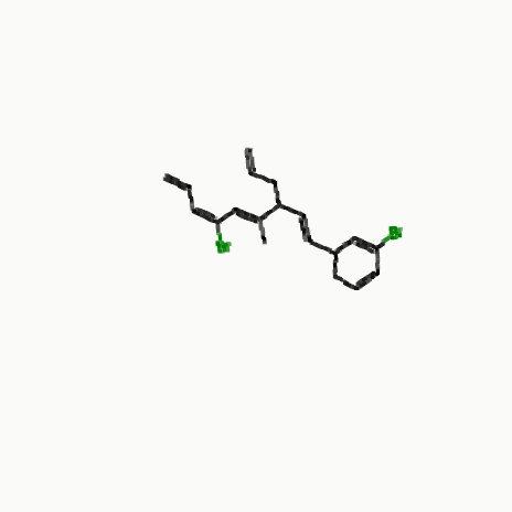 C=C/C=C(Br)\C=C(/C)C(/C=C/C1C=C(Br)C=CC1)CC=C